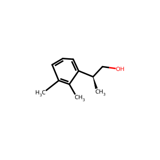 Cc1cccc([C@H](C)CO)c1C